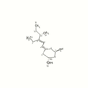 CC/C(=C\C=C1C[C@@H](O)C[C@H](O)C1)[C@@H](C)CC